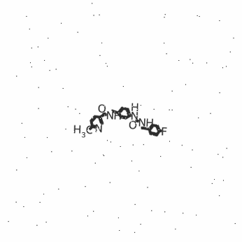 Cc1ccc(C(=O)NCc2ccc(NC(=O)NCc3ccc(F)cc3)cc2)cn1